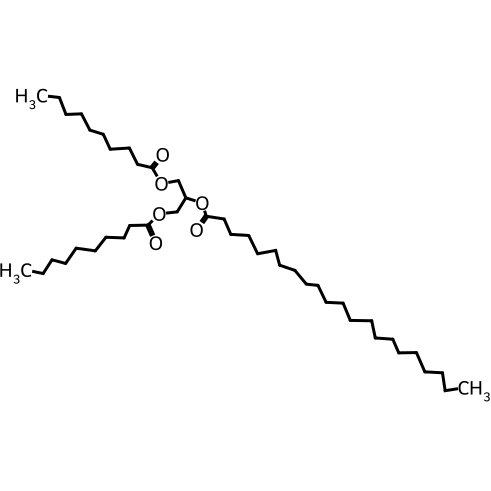 CCCCCCCCCCCCCCCCCCCCCC(=O)OC(COC(=O)CCCCCCCCC)COC(=O)CCCCCCCCC